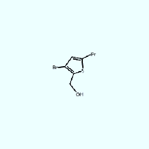 CC(C)c1cc(Br)c(CO)s1